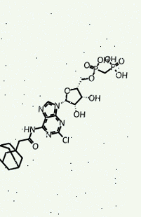 O=C(CC12CC3CC(CC(C3)C1)C2)Nc1nc(Cl)nc2c1ncn2[C@@H]1O[C@H](COP(=O)(O)CP(=O)(O)O)[C@H](O)[C@@H]1O